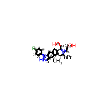 CCCC(C[C@H]1CCC2=C1[C@@H](C)C1=CNN(c3ccc(F)cc3)C1=C2)N(CCO)CCO